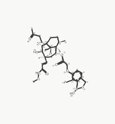 CONC(=O)/C=C/[C@]1(C)C[C@@H](OC(=O)COc2ccc3c(c2F)B(O)OC3)[C@]2(C)[C@H](C)CC[C@@](CCC(C)=O)([C@H]2C)[C@@H](C)[C@@H]1O